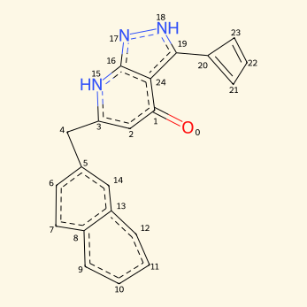 O=c1cc(Cc2ccc3ccccc3c2)[nH]c2n[nH]c(C3=CC=C3)c12